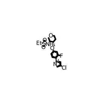 CCS(=O)(=O)N[C@H]1COCC[C@@H]1COc1ccc(-n2cc(Cl)cn2)c(F)c1